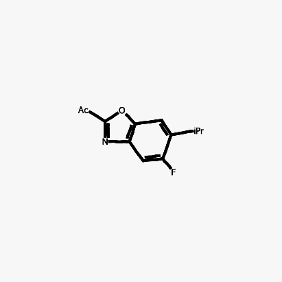 CC(=O)c1nc2cc(F)c(C(C)C)cc2o1